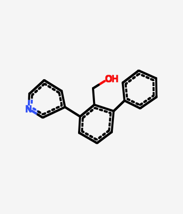 OCc1c(-c2ccccc2)cccc1-c1cccnc1